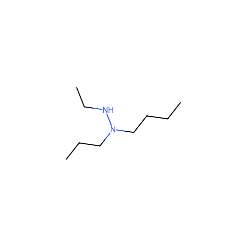 CCCCN(CCC)NCC